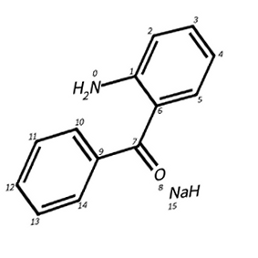 Nc1ccccc1C(=O)c1ccccc1.[NaH]